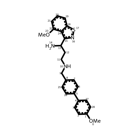 COc1ccc(-c2ccc(CNCCC(N)c3nsc4cccc(OC)c34)cc2)cc1